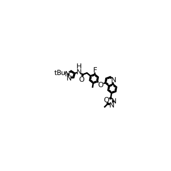 Cc1nnc(-c2ccc3nccc(Oc4cc(F)c(CC(=O)Nc5cnn(C(C)(C)C)c5)cc4C)c3c2)o1